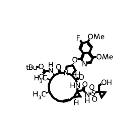 COc1cc2c(OC)cnc(O[C@@H]3C[C@H]4C(=O)NC5(C(=O)NS(=O)(=O)C6(CO)CC6)C[C@H]5/C=C\CC[C@@H](C)C[C@@H](C)[C@H](NC(=O)OC(C)(C)C)C(=O)N4C3)c2cc1F